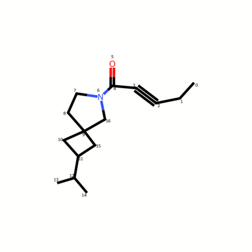 CCC#CC(=O)N1CCC2(CC(C(C)C)C2)C1